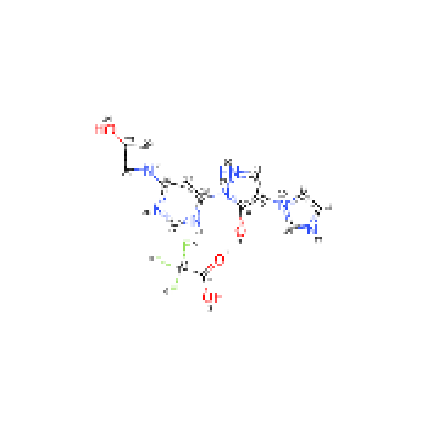 O=C(O)C(F)(F)F.O=c1c(-n2ccnc2)c[nH]n1-c1cc(N2CC(O)C2)ncn1